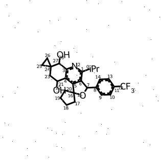 CC(C)c1nc2c(c3c1C(c1ccc(C(F)(F)F)cc1)OC31CCCC1)C(O)CC1(CC1)C2O